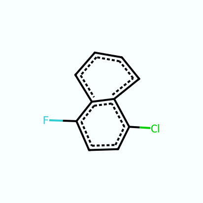 Fc1ccc(Cl)c2ccccc12